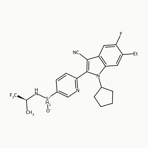 CCc1cc2c(cc1F)c(C#N)c(-c1ccc([SH2+]([O-])N[C@@H](C)C(F)(F)F)cn1)n2C1CCCC1